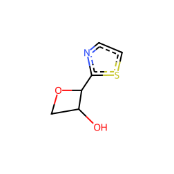 OC1COC1c1nccs1